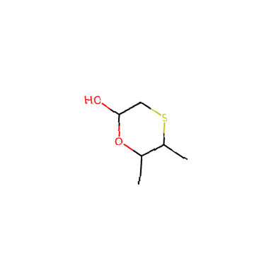 CC1OC(O)CSC1C